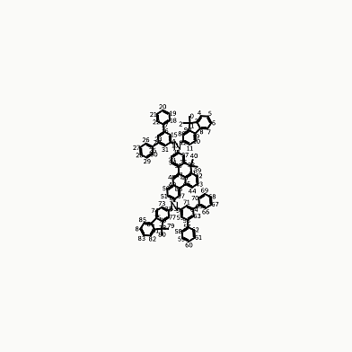 CC1(C)c2ccccc2-c2ccc(N(c3cc(-c4ccccc4)cc(-c4ccccc4)c3)c3ccc4c(c3)C(C)(C)c3cccc5c3c-4cc3ccc(N(c4cc(-c6ccccc6)cc(-c6ccccc6)c4)c4ccc6c(c4)C(C)(C)c4ccccc4-6)cc35)cc21